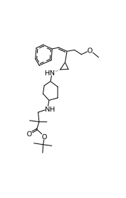 COCCC(=Cc1ccccc1)C1C[C@@H]1NC1CCC(NCC(C)(C)C(=O)OC(C)(C)C)CC1